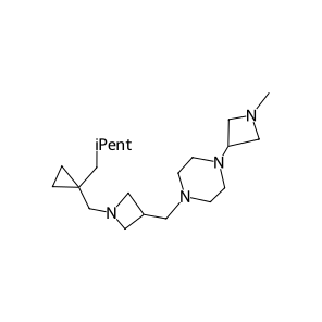 CCCC(C)CC1(CN2CC(CN3CCN(C4CN(C)C4)CC3)C2)CC1